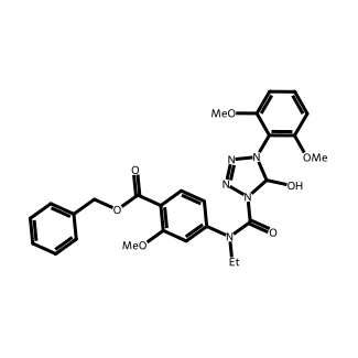 CCN(C(=O)N1N=NN(c2c(OC)cccc2OC)C1O)c1ccc(C(=O)OCc2ccccc2)c(OC)c1